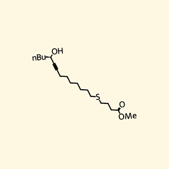 CCCC[C@@H](O)C#CCCCCCCCSCCCC(=O)OC